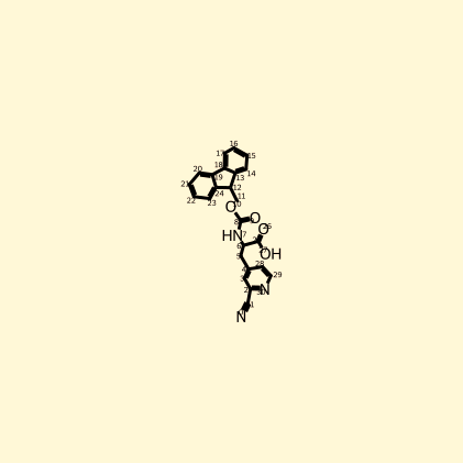 N#Cc1cc(CC(NC(=O)OCC2c3ccccc3-c3ccccc32)C(=O)O)ccn1